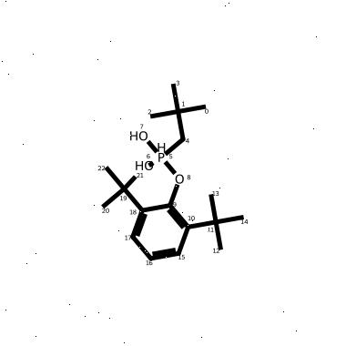 CC(C)(C)C[PH](O)(O)Oc1c(C(C)(C)C)cccc1C(C)(C)C